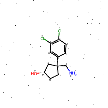 NC[C@@]1(c2ccc(Cl)c(Cl)c2)CC[C@H](O)C1